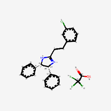 Clc1cccc(CCC2=N[C@H](c3ccccc3)[C@H](c3ccccc3)N2)c1.O=C(O)C(F)(F)F